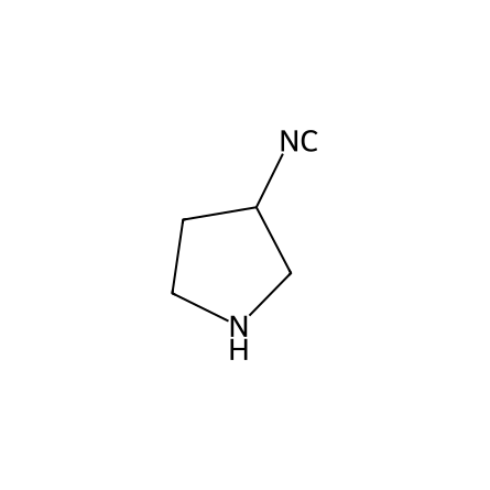 [C-]#[N+]C1CCNC1